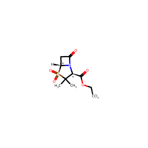 CC1(C)[C@H](C(=O)OCC(Cl)(Cl)Cl)N2C(=O)C[C@H]2S1(=O)=O